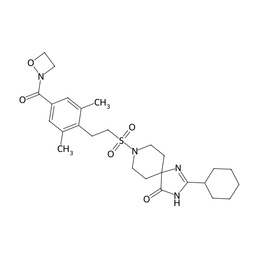 Cc1cc(C(=O)N2CCO2)cc(C)c1CCS(=O)(=O)N1CCC2(CC1)N=C(C1CCCCC1)NC2=O